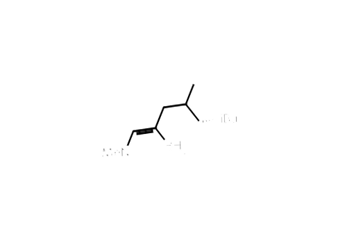 B/C(=C\NC)CC(C)C[C@@H](C)CC